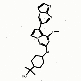 COc1nc(NC2CCC(C(C)(C)O)CC2)nn2ccc(-c3cnc4nccn4c3)c12